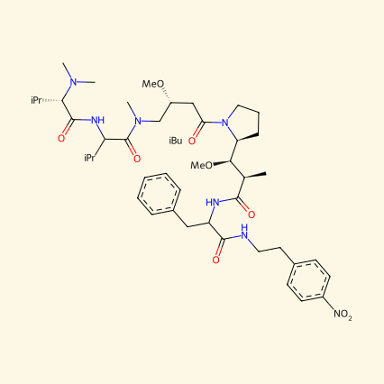 CC[C@H](C)C([C@@H](CC(=O)N1CCC[C@H]1[C@H](OC)[C@@H](C)C(=O)NC(Cc1ccccc1)C(=O)NCCc1ccc([N+](=O)[O-])cc1)OC)N(C)C(=O)C(NC(=O)[C@H](C(C)C)N(C)C)C(C)C